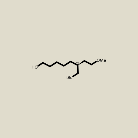 COCC[C@H](CCCCCO)CC(C)(C)C